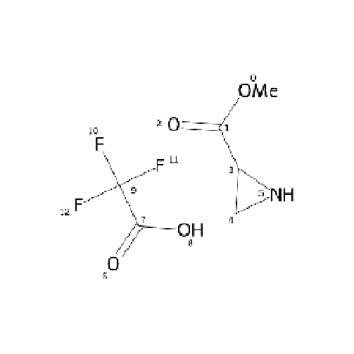 COC(=O)C1CN1.O=C(O)C(F)(F)F